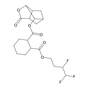 O=C(OCCC(F)C(F)F)C1CCCCC1C(=O)OC1C2CC3C(=O)OC1C3C2